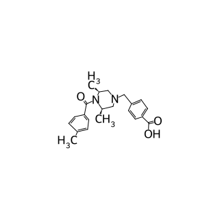 Cc1ccc(C(=O)N2[C@H](C)CN(Cc3ccc(C(=O)O)cc3)C[C@@H]2C)cc1